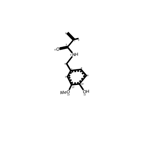 C=C(C)C(=O)NCc1ccc(O)c(OC)c1